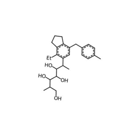 CCc1c(C(C)C(O)C(O)C(O)C(C)CO)cc(Cc2ccc(C)cc2)c2c1CCC2